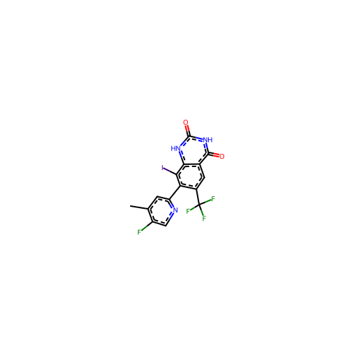 Cc1cc(-c2c(C(F)(F)F)cc3c(=O)[nH]c(=O)[nH]c3c2I)ncc1F